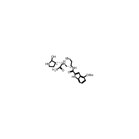 COc1cccc2[nH]c(C(=O)N[C@H](CN[C@@H](C[C@@H]3CCNC3O)C(N)=O)CC(C)(C)C)cc12